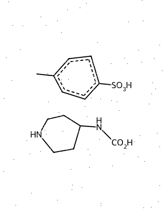 Cc1ccc(S(=O)(=O)O)cc1.O=C(O)NC1CCNCC1